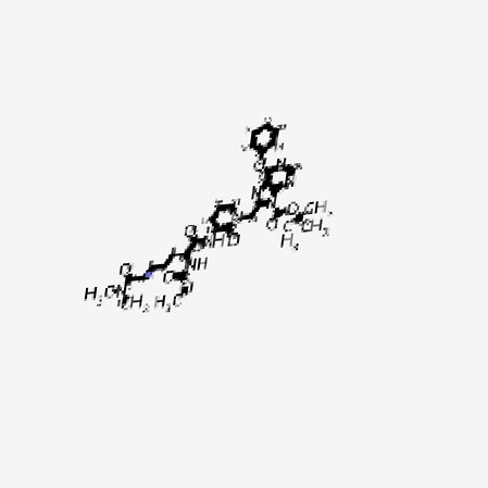 COC(=O)N[C@@H](CC/C=C/C(=O)N(C)C)C(=O)Nc1cccn(Cc2nc3c(Oc4ccccc4)ncnc3n2C(=O)OC(C)(C)C)c1=O